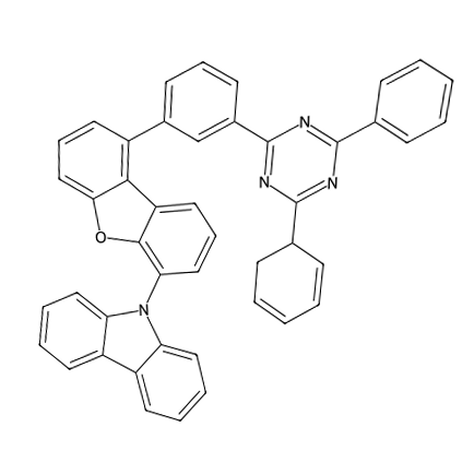 C1=CCC(c2nc(-c3ccccc3)nc(-c3cccc(-c4cccc5oc6c(-n7c8ccccc8c8ccccc87)cccc6c45)c3)n2)C=C1